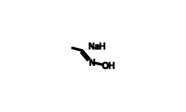 CC=NO.[NaH]